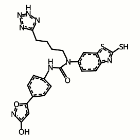 O=C(Nc1ccc(-c2cc(O)no2)cc1)N(CCCCc1nn[nH]n1)c1ccc2nc(S)sc2c1